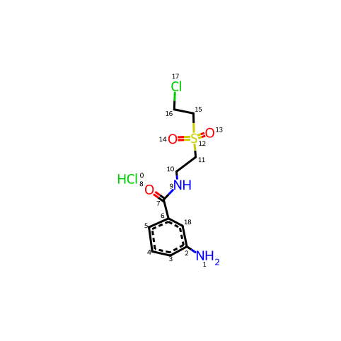 Cl.Nc1cccc(C(=O)NCCS(=O)(=O)CCCl)c1